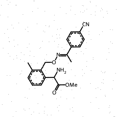 COC(=O)C(N)c1cccc(C)c1CO/N=C(\C)c1ccc(C#N)cc1